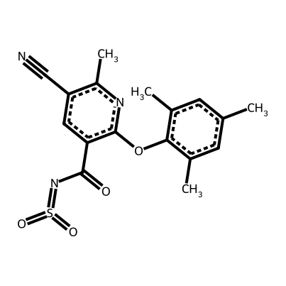 Cc1cc(C)c(Oc2nc(C)c(C#N)cc2C(=O)N=S(=O)=O)c(C)c1